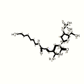 NCCCCCCNC(=O)/C=C/C1=CN([C@H]2CC(OP(=O)(O)O)[C@@H](CO)O2)C(=O)NC1N